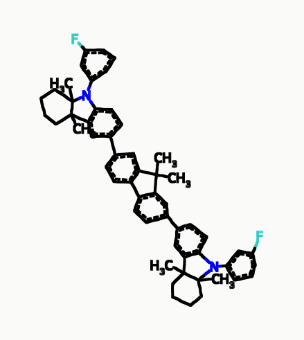 CC1(C)c2cc(-c3ccc4c(c3)C3(C)CCCCC3(C)N4c3cccc(F)c3)ccc2-c2ccc(-c3ccc4c(c3)C3(C)CCCCC3(C)N4c3cccc(F)c3)cc21